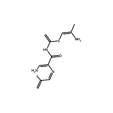 C=C(I)/C=N\C(=C/N)C(=O)NC(=C)S/C=C(/C)N